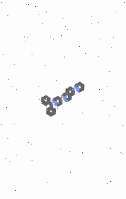 c1ccc(C(c2ccccc2)N2CCC(N3CCc4cc(N5CCCCC5)ccc4C3)CC2)cc1